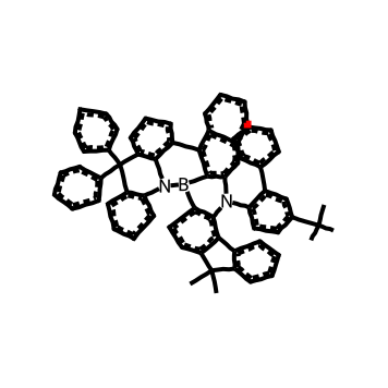 CC(C)(C)c1ccc(N2c3cc4ccccc4c4c3B(c3ccc5c(c32)-c2ccccc2C5(C)C)N2c3ccccc3C(c3ccccc3)(c3ccccc3)c3cccc-4c32)c(-c2ccccc2)c1